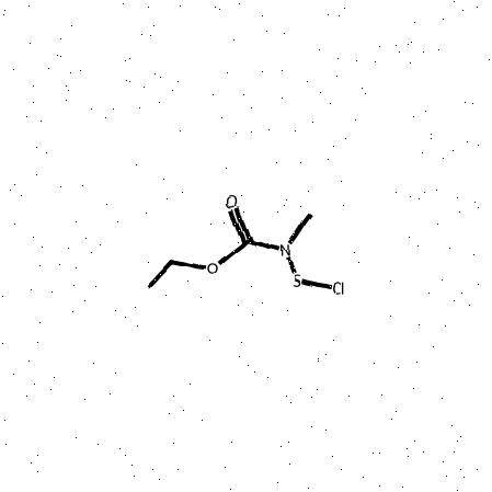 CCOC(=O)N(C)SCl